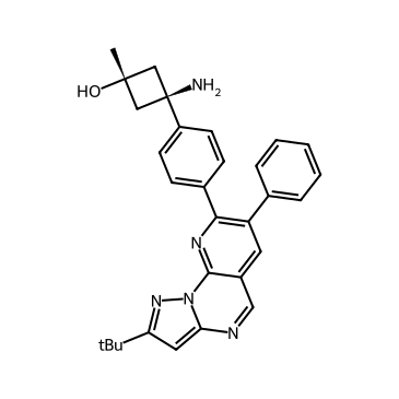 CC(C)(C)c1cc2ncc3cc(-c4ccccc4)c(-c4ccc([C@]5(N)C[C@](C)(O)C5)cc4)nc3n2n1